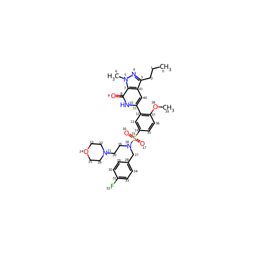 CCCc1nn(C)c2c(=O)[nH]c(-c3cc(S(=O)(=O)N(CCN4CCOCC4)Cc4ccc(F)cc4)ccc3OC)cc12